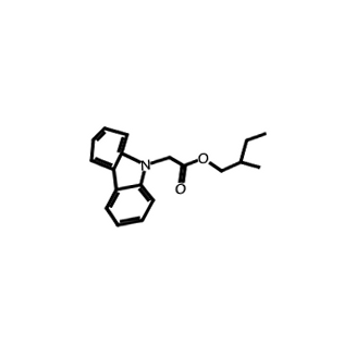 CCC(C)COC(=O)Cn1c2ccccc2c2ccccc21